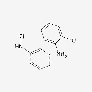 ClNc1ccccc1.Nc1ccccc1Cl